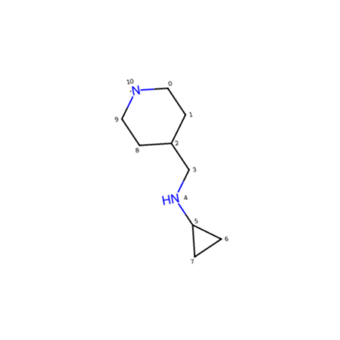 C1CC(CNC2CC2)CC[N]1